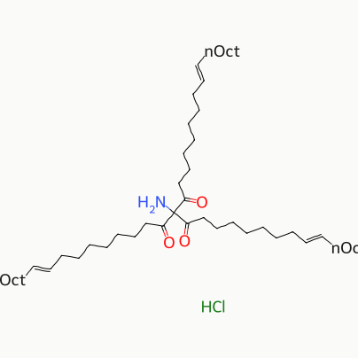 CCCCCCCCC=CCCCCCCCC(=O)C(N)(C(=O)CCCCCCCC=CCCCCCCCC)C(=O)CCCCCCCC=CCCCCCCCC.Cl